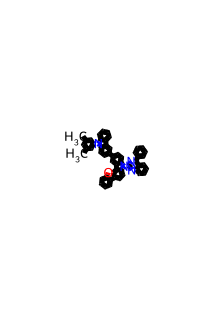 Cc1cc(C)cc(-n2c3ccccc3c3cc(-c4ccc5c(c4)c4c6oc7ccccc7c6ccc4n5-c4nc(-c5ccccc5)c5ccccc5n4)ccc32)c1